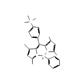 CC1=CC(C)=[N+]2C1=C(c1ccc([N+](C)(C)C)cc1)c1c(C)cc(C)n1[B-]2(F)c1ccccc1